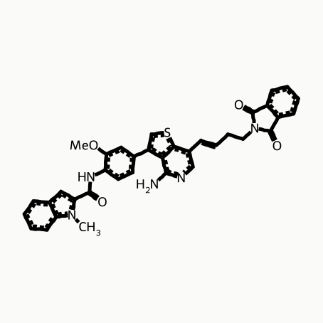 COc1cc(-c2csc3c(C=CCCN4C(=O)c5ccccc5C4=O)cnc(N)c23)ccc1NC(=O)c1cc2ccccc2n1C